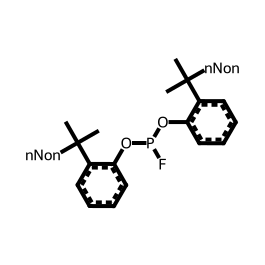 CCCCCCCCCC(C)(C)c1ccccc1OP(F)Oc1ccccc1C(C)(C)CCCCCCCCC